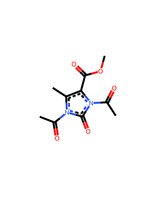 COC(=O)c1c(C)n(C(C)=O)c(=O)n1C(C)=O